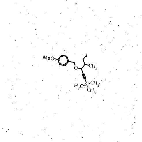 COc1ccc(COC(C#C[Si](C)(C)C)C(C)CI)cc1